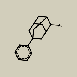 CC(=O)C1C2CC3CC1CC(c1ccccc1)(C3)C2